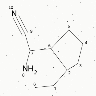 CCC1CCCC1C(N)C#N